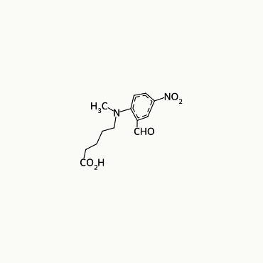 CN(CCCCC(=O)O)c1ccc([N+](=O)[O-])cc1C=O